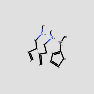 C=CCC[N-]C.C=CCC[N-]C.[CH3][Ti+2][C]1=CC=CC1